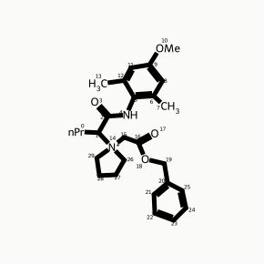 CCCC(C(=O)Nc1c(C)cc(OC)cc1C)[N+]1(CC(=O)OCc2ccccc2)CCCC1